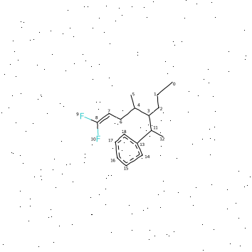 CCCC(C(C)CC=C(F)F)C(C)c1ccccc1